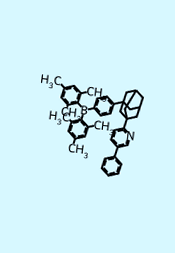 Cc1cc(C)c(B(c2ccc(C34CC5CC(C3)CC(c3ccc(-c6ccccc6)cn3)(C5)C4)cc2)c2c(C)cc(C)cc2C)c(C)c1